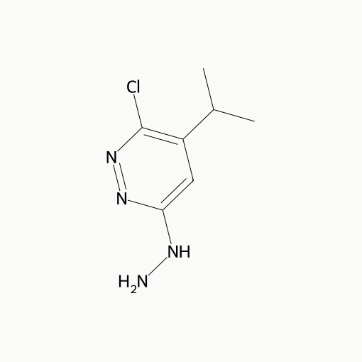 CC(C)c1cc(NN)nnc1Cl